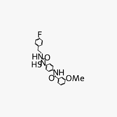 COc1cccc(C(=O)Nc2ccc(N(S)C(=O)NCCc3ccc(F)cc3)cc2)c1